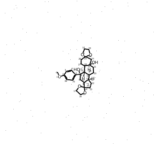 COc1ccc([C@@]2(O)C[C@@]3(C)[C@@H](CCC34OCCO4)[C@@H]3CC[C@@]4(O)CC5(CC[C@]4(C)[C@H]32)OCCO5)cc1